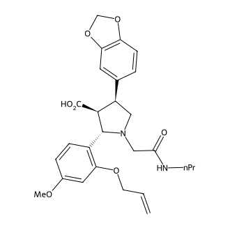 C=CCOc1cc(OC)ccc1[C@@H]1[C@@H](C(=O)O)[C@@H](c2ccc3c(c2)OCO3)CN1CC(=O)NCCC